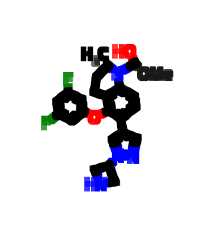 COC(O)N1c2ccc(-c3cnn(C4CNC4)c3)c(Oc3cc(F)cc(F)c3)c2CC[C@@H]1C